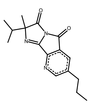 CCCc1cnc2c(c1)C(=O)N1C(=O)C(C)(C(C)C)N=C21